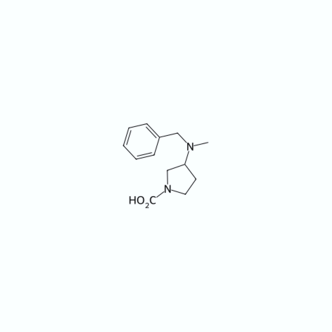 CN(Cc1ccccc1)C1CCN(C(=O)O)C1